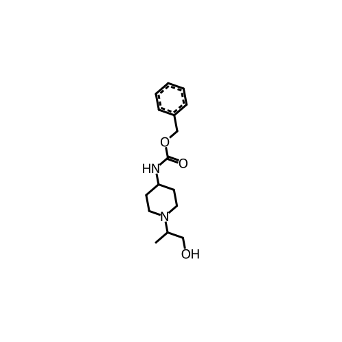 CC(CO)N1CCC(NC(=O)OCc2ccccc2)CC1